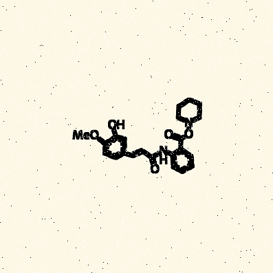 COc1ccc(/C=C/C(=O)Nc2ccccc2C(=O)ON2CCCCC2)cc1O